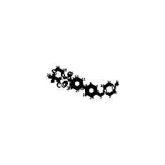 CN1CCN(Cc2ccc(-c3ccc(S(=O)(=O)N4CCSC(C)(C)C4C(=O)O)cc3)cc2)CC1